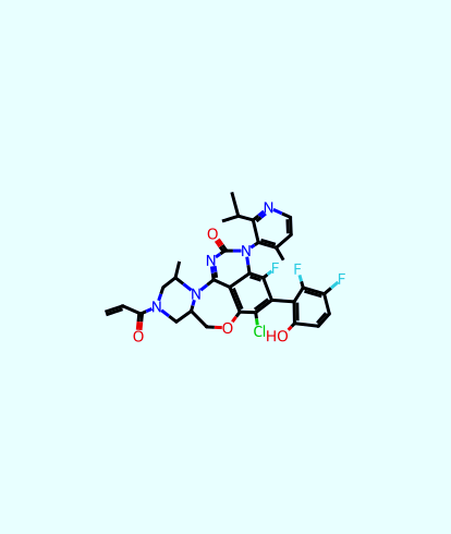 C=CC(=O)N1CC(C)N2c3nc(=O)n(-c4c(C)ccnc4C(C)C)c4c(F)c(-c5c(O)ccc(F)c5F)c(Cl)c(c34)OCC2C1